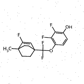 CC12CCC(C(F)(F)Oc3ccc(O)c(F)c3F)(C=C1F)CC2